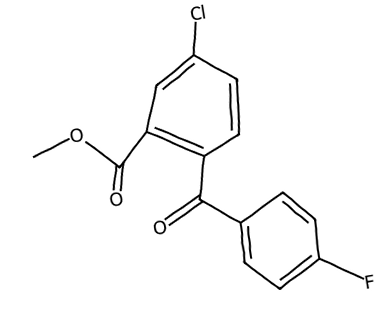 COC(=O)c1cc(Cl)ccc1C(=O)c1ccc(F)cc1